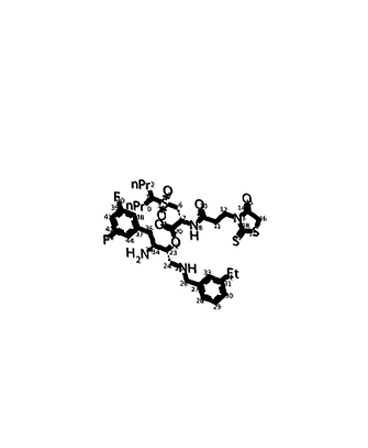 CCCC(CCC)S(=O)(=O)C[C@H](NC(=O)CCN1C(=O)CSC1=S)C(=O)O[C@H](CNCc1cccc(CC)c1)[C@@H](N)Cc1cc(F)cc(F)c1